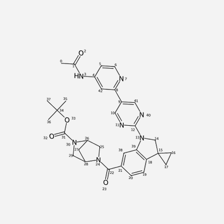 CC(=O)Nc1ccnc(-c2cnc(N3CC4(CC4)c4ccc(C(=O)N5CC6CC5CN6C(=O)OC(C)(C)C)cc43)nc2)c1